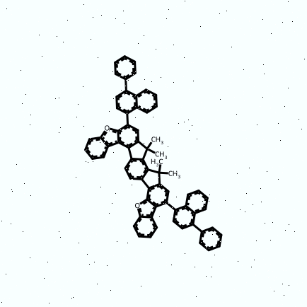 CC1(C)c2cc(-c3ccc(-c4ccccc4)c4ccccc34)c3c(oc4ccccc43)c2-c2ccc3c(c21)C(C)(C)c1cc(-c2ccc(-c4ccccc4)c4ccccc24)c2oc4ccccc4c2c1-3